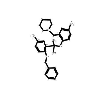 CCCC(C)(Pc1ccc(C)cc1CN1CCCCC1)c1cc(C)ccc1OCc1ccccc1